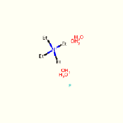 CC[N+](CC)(CC)CC.O.O.O.O.[F-]